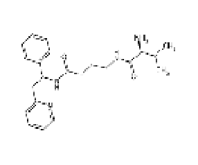 CC(C)[C@H](N)C(=O)NCCCC(=O)NC(Cc1ccccn1)c1ccccc1